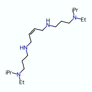 CCN(CCCNC/C=C\CNCCCN(CC)C(C)C)C(C)C